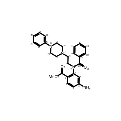 COC(=O)c1ccc(N)cc1N(CCN1CCN(c2ccccc2)CC1)C(=O)c1ccccc1